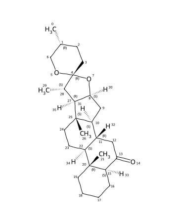 C[C@@H]1CC[C@@]2(OC1)O[C@H]1C[C@H]3[C@@H]4CC(=O)[C@H]5CCCC[C@]5(C)[C@H]4CC[C@]3(C)[C@H]1[C@@H]2C